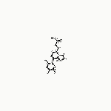 Cc1cc(C)c(-c2ccc(CCC(=O)O)n3ccnc23)nc1C